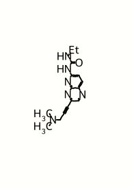 CCNC(=O)Nc1ccc2ncc(C#CCN(C)C)nc2n1